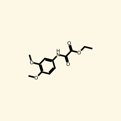 CCOC(=O)C(=O)Nc1ccc(OC)c(OC)c1